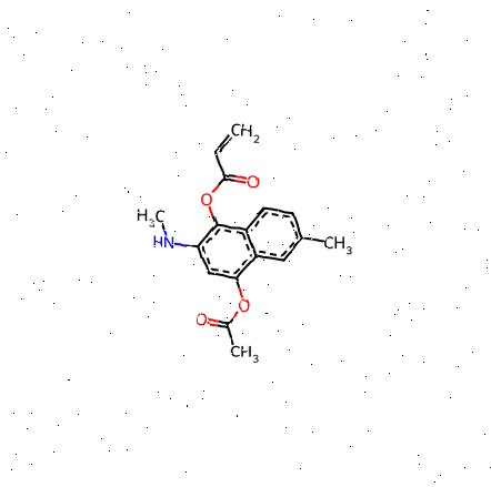 C=CC(=O)Oc1c(NC)cc(OC(C)=O)c2cc(C)ccc12